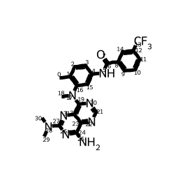 Cc1ccc(NC(=O)c2cccc(C(F)(F)F)c2)cc1N(C)c1ncnc2c(N)nc(N(C)C)nc12